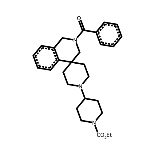 CCOC(=O)N1CCC(N2CCC3(CC2)CN(C(=O)c2ccccc2)Cc2ccccc23)CC1